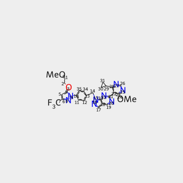 COCCOc1cc(C(F)(F)F)nn1-c1ccc(Cn2ncc3cnc(-c4c(OC)ncnc4C4CC4)nc32)cc1